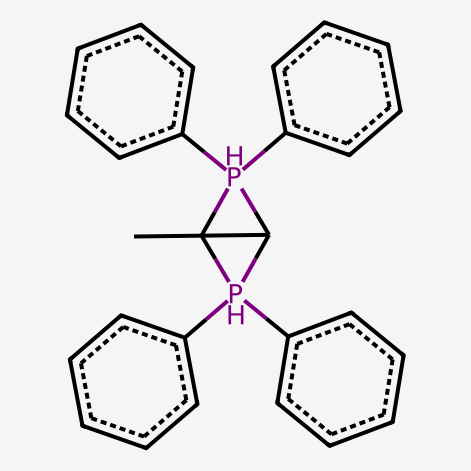 CC12C([PH]1(c1ccccc1)c1ccccc1)[PH]2(c1ccccc1)c1ccccc1